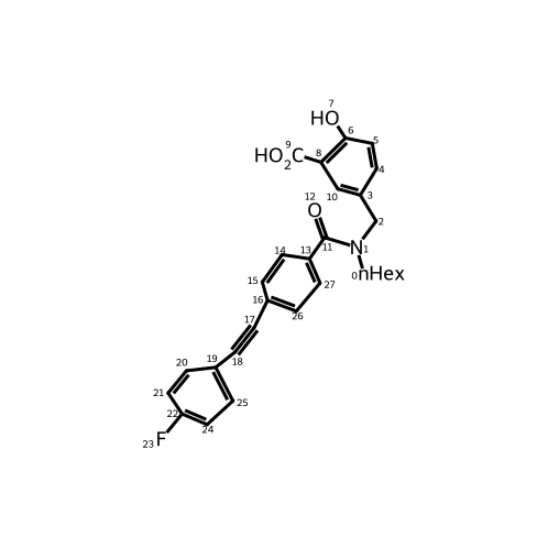 CCCCCCN(Cc1ccc(O)c(C(=O)O)c1)C(=O)c1ccc(C#Cc2ccc(F)cc2)cc1